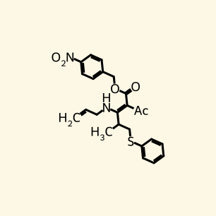 C=CCNC(=C(C(C)=O)C(=O)OCc1ccc([N+](=O)[O-])cc1)C(C)CSc1ccccc1